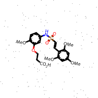 COc1cc(OC)c(/C=C/S(=O)(=O)Nc2ccc(OC)c(OCCC(=O)O)c2)c(OC)c1